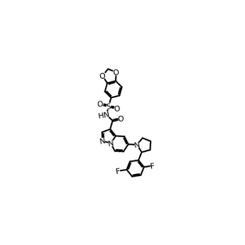 O=C(NS(=O)(=O)c1ccc2c(c1)OCO2)c1cnn2ccc(N3CCCC3c3cc(F)ccc3F)cc12